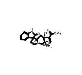 CC[C@@]1(C)CN2CCC3(C(=O)Nc4ccccc43)[C@]2(C)C[C@]1(C)/C(=C\OC)C(=O)OC